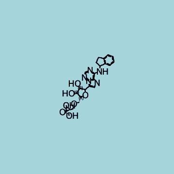 O=P(O)(O)COC[C@H]1OC(c2cnc3c(NC4CCc5ccccc54)ncnn23)[C@H](O)[C@@H]1O